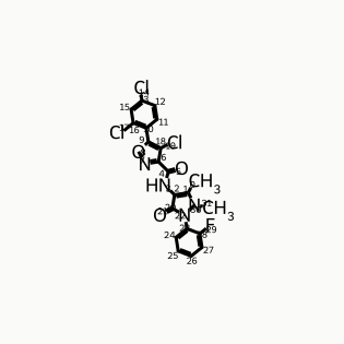 Cc1c(NC(=O)c2noc(-c3ccc(Cl)cc3Cl)c2Cl)c(=O)n(-c2ccccc2F)n1C